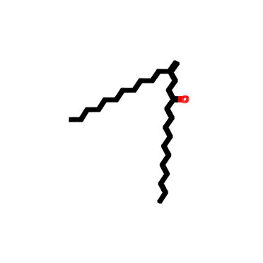 C=C(CCCCCCCCCCC)CCC(=O)CCCCCCCCCCC